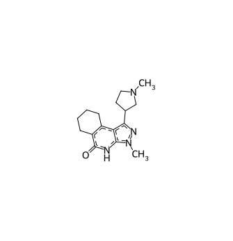 CN1CCC(c2nn(C)c3[nH]c(=O)c4c(c23)CCCC4)C1